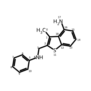 Cc1c(CNc2ccccc2)sc2cccc(N)c12